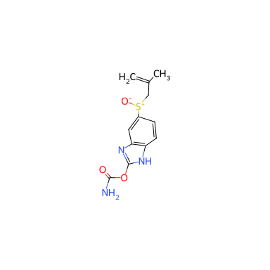 C=C(C)C[S+]([O-])c1ccc2[nH]c(OC(N)=O)nc2c1